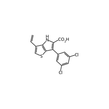 C=Cc1csc2c(-c3cc(Cl)cc(Cl)c3)c(C(=O)O)[nH]c12